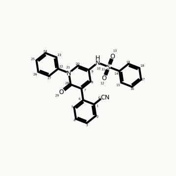 N#Cc1ccccc1-c1cc(NS(=O)(=O)c2ccccc2)cn(-c2ccccc2)c1=O